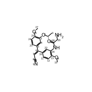 CCOc1cc(C(=CC#N)c2ccc(OC)c(NC(=O)CN)c2)ccc1OC